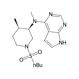 CCCCS(=O)(=O)N1CC[C@@H](C)[C@@H](N(C)c2ncnc3[nH]ccc23)C1